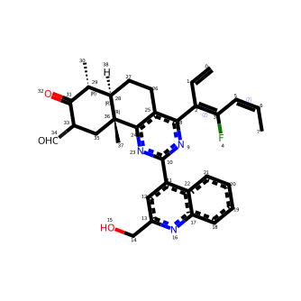 C=C/C(=C(F)\C=C/C)c1nc(-c2cc(CO)nc3ccccc23)nc2c1CC[C@@H]1[C@@H](C)C(=O)C(C=O)C[C@@]21C